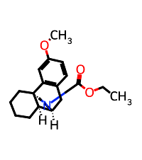 CCOC(=O)N1CC[C@@]23CCCC[C@@H]2[C@H](Cc2ccc(OC)cc23)C1